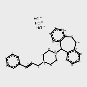 C(=C\c1ccccc1)/CN1CCN(C2c3ccccc3CCc3ncccc32)CC1.Cl.Cl.Cl